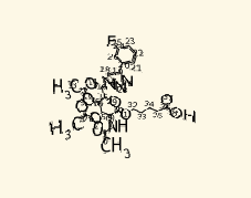 CC(=O)N[C@H]1C(OC(C)=O)[C@@H](OC(C)=O)C(Cn2cc(-c3cccc(F)c3)nn2)O[C@H]1OCCCCC(=O)O